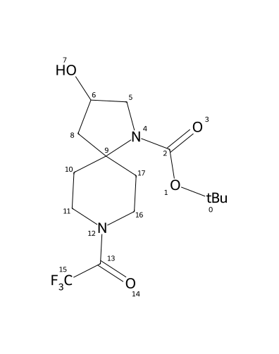 CC(C)(C)OC(=O)N1CC(O)CC12CCN(C(=O)C(F)(F)F)CC2